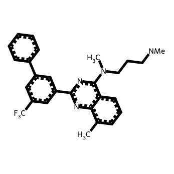 CNCCCN(C)c1nc(-c2cc(-c3ccccc3)cc(C(F)(F)F)c2)nc2c(C)cccc12